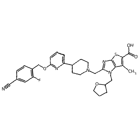 Cc1c(C(=O)O)sc2nc(CN3CCC(c4cccc(OCc5ccc(C#N)cc5F)n4)CC3)n(CC3CCCO3)c12